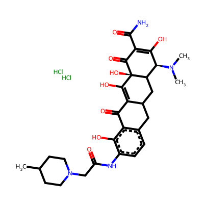 CC1CCN(CC(=O)Nc2ccc3c(c2O)C(=O)C2=C(O)[C@]4(O)C(=O)C(C(N)=O)=C(O)[C@@H](N(C)C)C4CC2C3)CC1.Cl.Cl